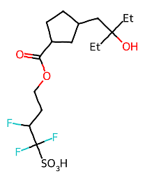 CCC(O)(CC)CC1CCC(C(=O)OCCC(F)C(F)(F)S(=O)(=O)O)C1